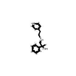 CC(O)(CSCCc1ccncc1)c1ccccc1